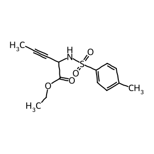 CC#CC(NS(=O)(=O)c1ccc(C)cc1)C(=O)OCC